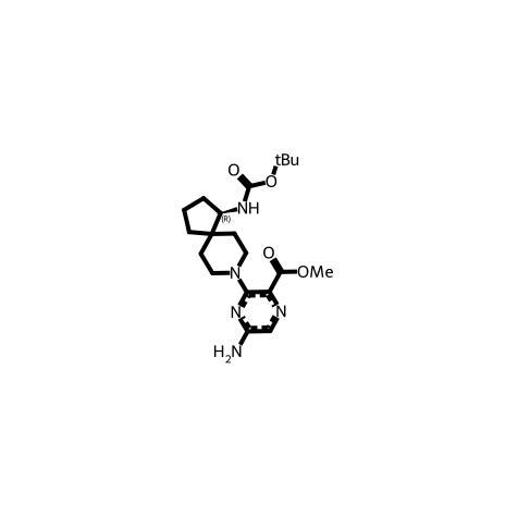 COC(=O)c1ncc(N)nc1N1CCC2(CCC[C@H]2NC(=O)OC(C)(C)C)CC1